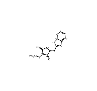 O=C(O)CN1C(=O)C(=Cc2cc3ccccc3s2)SC1=S